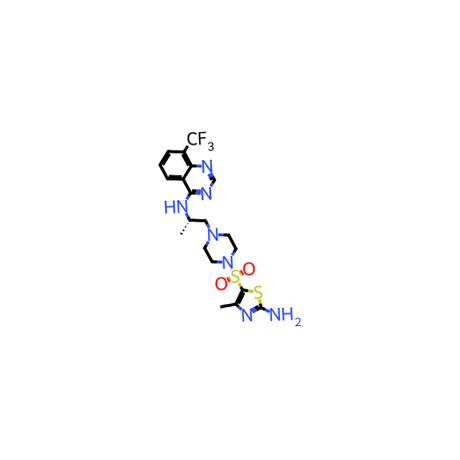 Cc1nc(N)sc1S(=O)(=O)N1CCN(C[C@H](C)Nc2ncnc3c(C(F)(F)F)cccc23)CC1